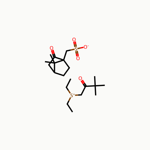 CC1(C)C2CCC1(CS(=O)(=O)[O-])C(=O)C2.CC[S+](CC)CC(=O)C(C)(C)C